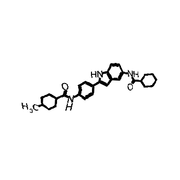 CC1CCC(C(=O)Nc2ccc(-c3cc4cc(NC(=O)C5CCCCC5)ccc4[nH]3)cc2)CC1